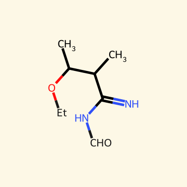 CCOC(C)C(C)C(=N)NC=O